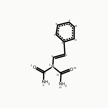 NC(=O)N(C=Cc1ccccc1)C(N)=O